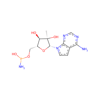 C[C@@]1(O)[C@H](O)[C@@H](COP(N)O)O[C@H]1n1ccc2c(N)ncnc21